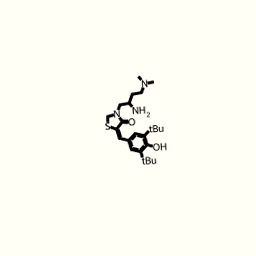 CN(C)CCC(N)CN1CSC(=Cc2cc(C(C)(C)C)c(O)c(C(C)(C)C)c2)C1=O